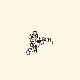 COc1ccc(CC(NC(=O)c2cc3ccccc3[nH]2)C(=O)NC(Cc2ccccc2)C(=O)C2(C)CO2)cc1